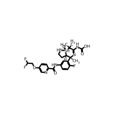 CC1(C)C(NC(=O)O)=N[C@](C)(c2cc(NC(=O)c3ccc(OCC(F)F)cn3)ccc2F)[C@@H]2CCN[SH]21=O